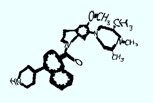 COc1cc2c(cc1N1C[C@@H](C)N(C)[C@@H](C)C1)N(C(=O)c1ccc(C3CCNCC3)c3ccccc13)CC2